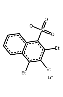 CCc1c(CC)c(S(=O)(=O)[O-])c2ccccc2c1CC.[Li+]